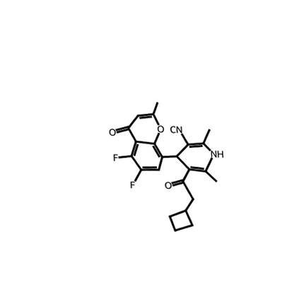 [C-]#[N+]C1=C(C)NC(C)=C(C(=O)CC2CCC2)C1c1cc(F)c(F)c2c(=O)cc(C)oc12